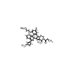 C=CC(=O)N1CCn2nc(-c3nc(-c4cnn(C)c4)c4ccsc4c3-c3c(F)cc(F)cc3OCCOC)cc2C1C